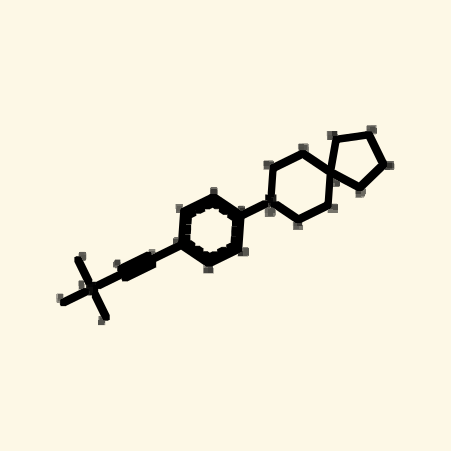 C[Si](C)(C)C#Cc1ccc(N2CCC3(CCCC3)CC2)cc1